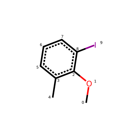 COc1c(C)cccc1I